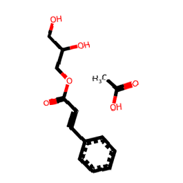 CC(=O)O.O=C(C=Cc1ccccc1)OCC(O)CO